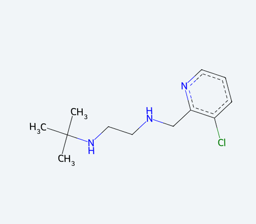 CC(C)(C)NCCNCc1ncccc1Cl